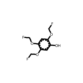 Oc1cc(OCF)c(OCF)cc1OCF